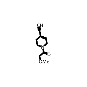 C#CC1=CCN(C(=O)COC)CC1